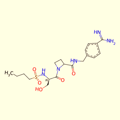 CCCCS(=O)(=O)N[C@H](CO)C(=O)N1CCC1C(=O)NCc1ccc(C(=N)N)cc1